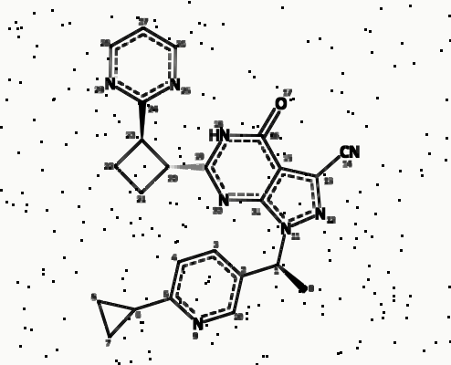 C[C@@H](c1ccc(C2CC2)nc1)n1nc(C#N)c2c(=O)[nH]c([C@@H]3CC[C@H]3c3ncccn3)nc21